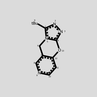 CC(C)(C)c1nnc2n1Cc1cnccc1O2